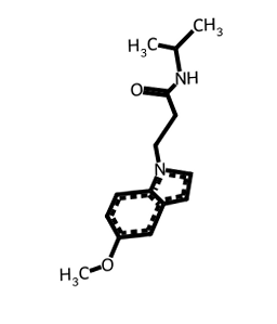 COc1ccc2c(ccn2CCC(=O)NC(C)C)c1